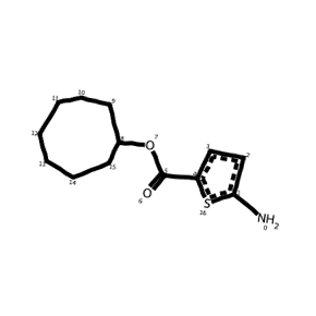 Nc1ccc(C(=O)OC2CCCCCCC2)s1